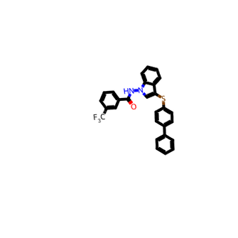 O=C(Nn1cc(Sc2ccc(-c3ccccc3)cc2)c2ccccc21)c1cccc(C(F)(F)F)c1